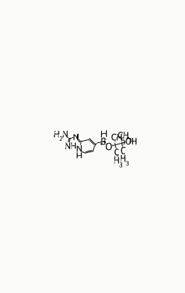 CC(C)(O)C(C)(C)OBc1cc[nH]/c(=N\C(=N)N)c1